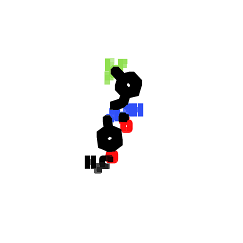 COc1ccc(CN2CC(c3cccc(C(F)(F)F)c3)NC2=O)cc1